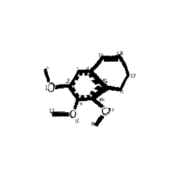 COc1cc2c(c(OC)c1OC)CCC=C2